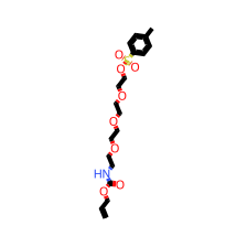 C=CCOC(=O)NCCOCCOCCOCCOS(=O)(=O)c1ccc(C)cc1